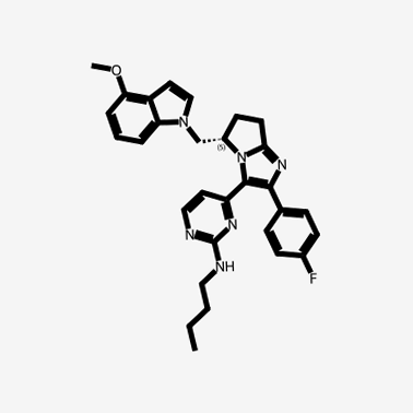 CCCCNc1nccc(-c2c(-c3ccc(F)cc3)nc3n2[C@H](Cn2ccc4c(OC)cccc42)CC3)n1